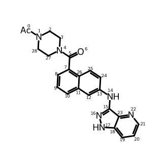 CC(=O)N1CCN(C(=O)c2cccc3cc(Nc4n[nH]c5cccnc45)ccc23)CC1